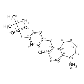 CC(C)(C)S(=O)(=O)Cc1ccc(Cc2c(Cl)ccc3c2CCNCC3N)cn1